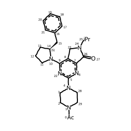 CC(=O)N1CCN(c2nc3c(c(N4CCC[C@H]4Cc4ccccc4)n2)CN(C(C)C)C3=O)CC1